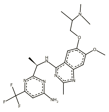 COc1cc2nc(C)nc(N[C@H](C)c3nc(N)cc(C(F)(F)F)n3)c2cc1OCC(C)N(C)C